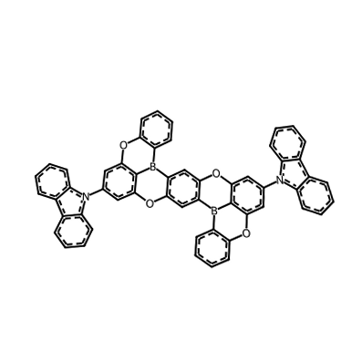 c1ccc2c(c1)Oc1cc(-n3c4ccccc4c4ccccc43)cc3c1B2c1cc2c(cc1O3)B1c3ccccc3Oc3cc(-n4c5ccccc5c5ccccc54)cc(c31)O2